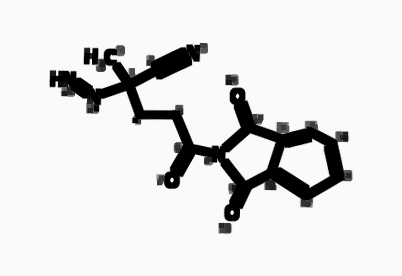 CC(C#N)(CCC(=O)N1C(=O)c2ccccc2C1=O)N=N